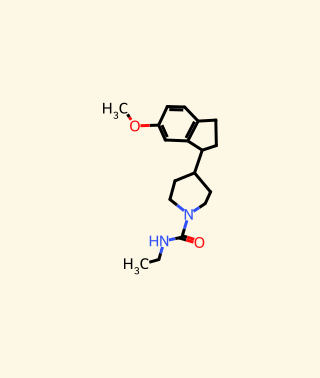 CCNC(=O)N1CCC(C2CCc3ccc(OC)cc32)CC1